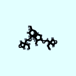 CCC1(COC2CC3C4CC(OCC5(CC)COC5)(CC4C)C3C2C)COC1